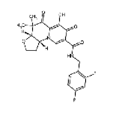 CC1(C)C(=O)c2c(O)c(=O)c(C(=O)NCc3ccc(F)cc3F)cn2[C@@H]2CCO[C@@H]21